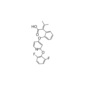 CC(C)=C(C(=O)O)c1ccccc1Oc1ccnc(Oc2c(F)cccc2F)c1